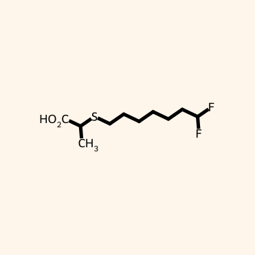 CC(SCCCCCCC(F)F)C(=O)O